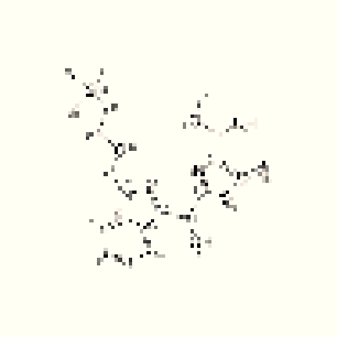 COC(O)c1nc(C(O)c2cn(COCC[Si](C)(C)C)c3ccccc23)sc1Br